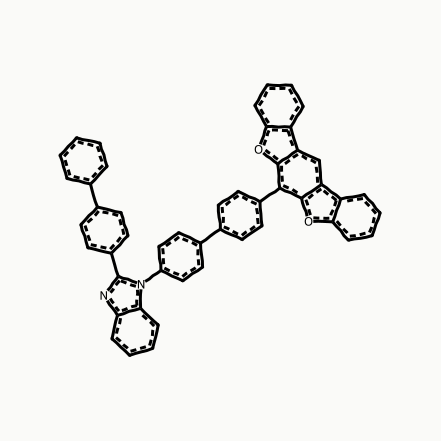 c1ccc(-c2ccc(-c3nc4ccccc4n3-c3ccc(-c4ccc(-c5c6oc7ccccc7c6cc6c5oc5ccccc56)cc4)cc3)cc2)cc1